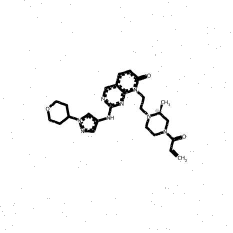 C=CC(=O)N1CCN(CCn2c(=O)ccc3cnc(Nc4cnn(C5CCOCC5)c4)nc32)[C@@H](C)C1